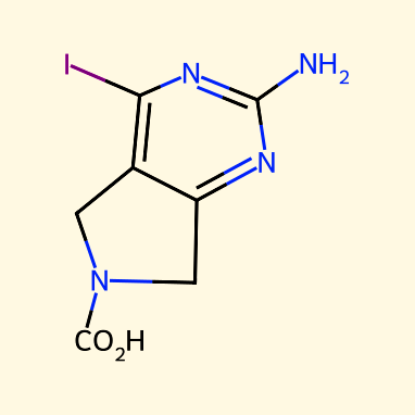 Nc1nc(I)c2c(n1)CN(C(=O)O)C2